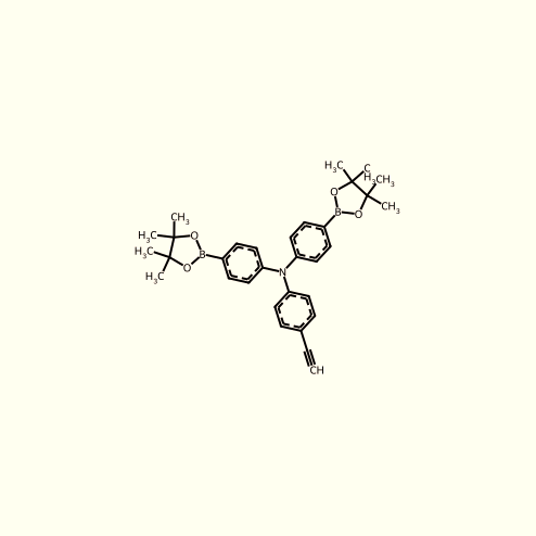 C#Cc1ccc(N(c2ccc(B3OC(C)(C)C(C)(C)O3)cc2)c2ccc(B3OC(C)(C)C(C)(C)O3)cc2)cc1